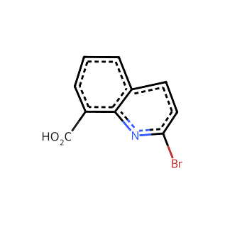 O=C(O)c1cccc2ccc(Br)nc12